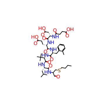 CCCCSCC(C=O)NC(=O)[C@H](CC(C)C)NC(=O)[C@@H](NC(=O)[C@H](Cc1ccccc1C)NC(=O)[C@H](CCC(=O)O)NC(=O)[C@H](CC(=O)O)NC(=O)CCC(=O)O)C(C)(C)C